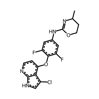 CC1CCOC(Nc2cc(F)c(Oc3ccnc4[nH]cc(Cl)c34)c(F)c2)=N1